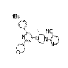 C[C@@H]1CN(c2ncccc2C#N)CCN1c1cc(-c2ccc(C(C)(C)C)cc2)nc(N2CCOCC2)n1